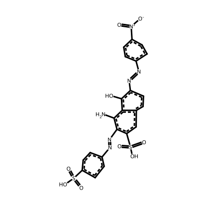 Nc1c(N=Nc2ccc(S(=O)(=O)O)cc2)c(S(=O)(=O)O)cc2ccc(N=Nc3ccc([N+](=O)[O-])cc3)c(O)c12